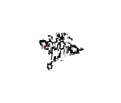 CCCC(CCC)S(=O)(=O)CC(NC(=O)c1cccnc1)C(=O)N[C@@H](Cc1cc(F)cc(F)c1)[C@@H](O)[C@@H](OCCS(C)(=O)=O)C(=O)NCCc1ccccc1